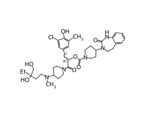 CCC(O)(CO)CCN(C)C1CCN(C(=O)[C@@H](Cc2cc(C)c(O)c(Cl)c2)OC(=O)N2CCC(N3CCc4ccccc4NC3=O)CC2)CC1